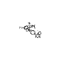 CC(C)NC[C@@](O)(C(=O)N1CCN(c2ncnc3c2[C@H](C)CC3)CC1)c1ccc(Cl)cc1